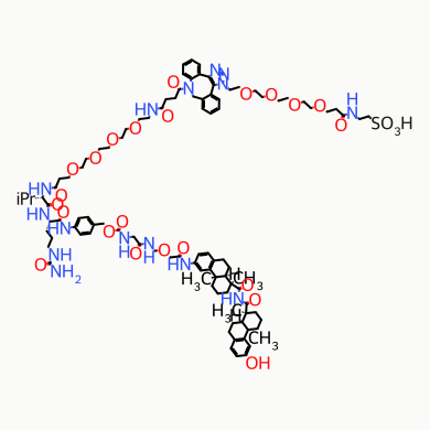 CC(C)[C@H](NC(=O)CCOCCOCCOCCOCCNC(=O)CCC(=O)N1Cc2ccccc2-c2c(nnn2CCOCCOCCOCCOCCC(=O)NCCS(=O)(=O)O)-c2ccccc21)C(=O)N[C@@H](CCCNC(N)=O)C(=O)Nc1ccc(COC(=O)NCC(=O)NCOCC(=O)Nc2ccc3c(c2)[C@@]2(C)CCC[C@](C)(C(=O)NC(=O)[C@@]4(C)CCC[C@]5(C)c6cc(O)ccc6CC[C@@H]45)[C@@H]2CC3)cc1